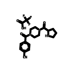 N#Cc1ccc(C(=O)N2CCN(C(=O)C3CCCN3)CC2)cc1.O=C(O)C(F)(F)F